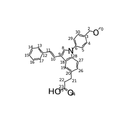 COCc1ccc(-n2cc(C=Cc3ccccc3)c3cc(CCC(=O)O)ccc32)cc1